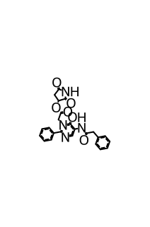 O=C1CC(OC(=O)Cn2c(-c3ccccc3)ncc(NC(=O)Cc3ccccc3)c2=O)C(=O)N1